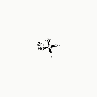 O=[S](=O)(O)[Zn].[Zn]